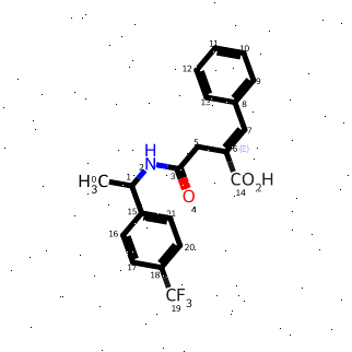 CC(NC(=O)C/C(=C\c1ccccc1)C(=O)O)c1ccc(C(F)(F)F)cc1